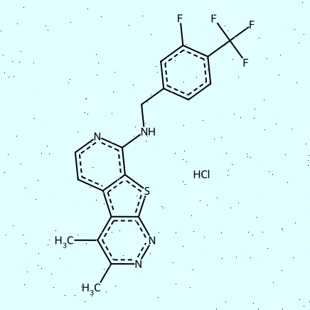 Cc1nnc2sc3c(NCc4ccc(C(F)(F)F)c(F)c4)nccc3c2c1C.Cl